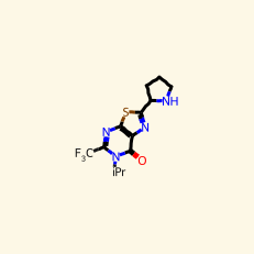 CC(C)n1c(C(F)(F)F)nc2sc(C3CCCN3)nc2c1=O